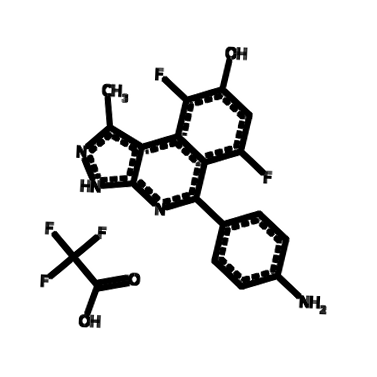 Cc1n[nH]c2nc(-c3ccc(N)cc3)c3c(F)cc(O)c(F)c3c12.O=C(O)C(F)(F)F